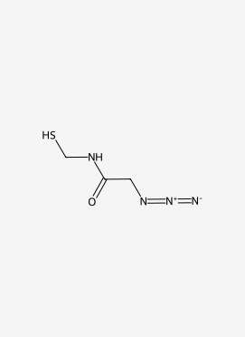 [N-]=[N+]=NCC(=O)NCS